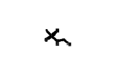 [2H]CNS(C)(=O)=O